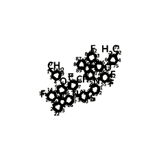 C=Cc1ccc(OC2=CC=C(C3(C4CCC(F)CC4)c4ccccc4C4C=CC(N(c5ccc(F)c(C)c5)C5CCC6=C(C5)C5C=C(N(C7=CCC(F)C(F)C7)C7C=CC8=C(C7)C(c7ccc(Oc9ccc(C=C)cc9)cc7)(C7CC=C(F)CC7)c7ccccc78)C=CC5S6)CC43)CC2)cc1